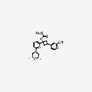 CSC(=S)OC1(c2cccc(N3C[C@@H](C)O[C@@H](C)C3)n2)CC(c2ccnc(C#N)c2)C1